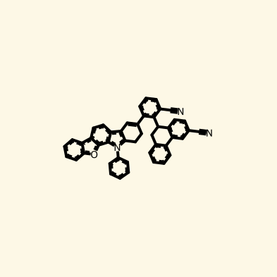 N#Cc1ccc2c(c1)-c1ccccc1CC2c1c(C#N)cccc1C1=Cc2c(n(-c3ccccc3)c3c2ccc2c4ccccc4oc23)CC1